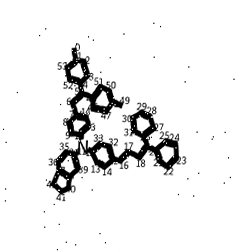 Cc1ccc(C(=Cc2ccc(N(c3ccc(/C=C/C=C(c4ccccc4)c4ccccc4)cc3)c3ccc4c(c3)CCC4)cc2)c2ccc(C)cc2)cc1